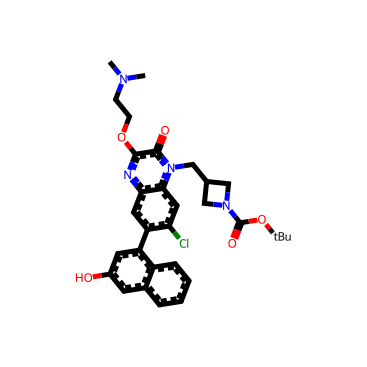 CN(C)CCOc1nc2cc(-c3cc(O)cc4ccccc34)c(Cl)cc2n(CC2CN(C(=O)OC(C)(C)C)C2)c1=O